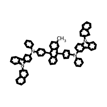 Cc1ccc2c(-c3ccc(N(c4ccccc4)c4ccc5c(c4)c4ccccc4n5-c4ccc5ccccc5c4)cc3)c3ccccc3c(-c3ccc(N(c4ccccc4)c4ccc5c(c4)c4ccccc4n5-c4ccc5ccccc5c4)cc3)c2c1